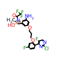 C[SH](O)(Cc1cc(N)cc(OCCCOc2cc(F)ccc2-c2nc(Cl)ncc2F)c1)=NC(=O)C(F)(F)F